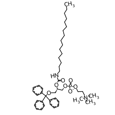 CCCCCCCCCCCCCCCCNC(=O)O[C@H](COC(c1ccccc1)(c1ccccc1)c1ccccc1)COP(=O)([O-])OCC[N+](C)(C)C